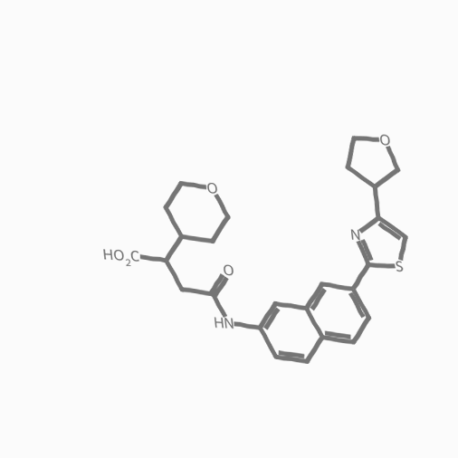 O=C(CC(C(=O)O)C1CCOCC1)Nc1ccc2ccc(-c3nc(C4CCOC4)cs3)cc2c1